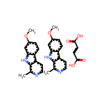 COc1ccc2c(c1)[nH]c1c(C)nccc12.COc1ccc2c(c1)[nH]c1c(C)nccc12.O=C(O)/C=C/C(=O)O